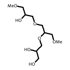 COCC(O)COCC(COC)OCC(O)CO